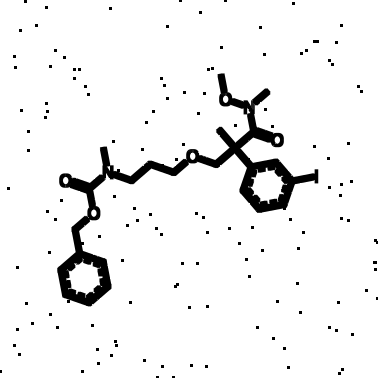 CON(C)C(=O)C(C)(COCCCN(C)C(=O)OCc1ccccc1)c1cccc(I)c1